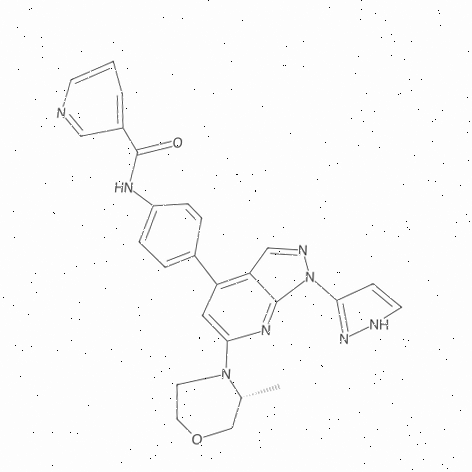 C[C@@H]1COCCN1c1cc(-c2ccc(NC(=O)c3cccnc3)cc2)c2cnn(-c3cc[nH]n3)c2n1